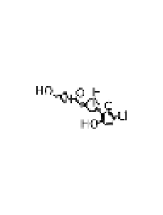 O=C(C[C@H]1CN[C@@H](c2c(O)ccc(Cl)c2Cl)C1)N1CC(CO)C1